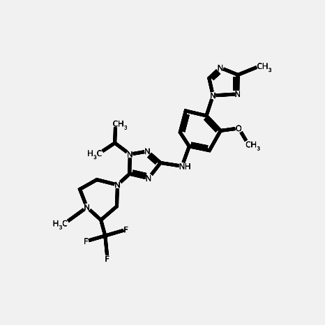 COc1cc(Nc2nc(N3CCN(C)C(C(F)(F)F)C3)n(C(C)C)n2)ccc1-n1cnc(C)n1